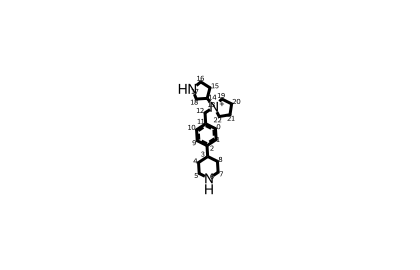 c1cc(C2CCNCC2)ccc1C[N+]1(C2CCNC2)CCCC1